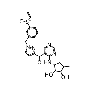 [CH2][C@@H]1C[C@@H](Nc2ncncc2C(=O)c2ccn(Cc3cccc([S@@+]([O-])C=C)c3)n2)[C@H](O)[C@@H]1O